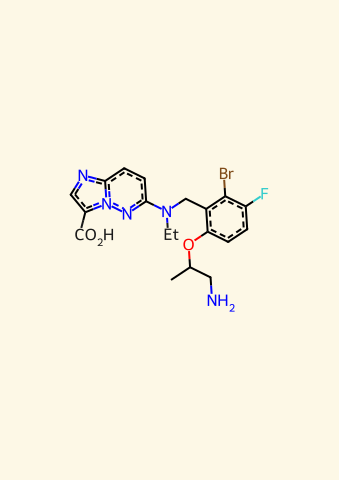 CCN(Cc1c(OC(C)CN)ccc(F)c1Br)c1ccc2ncc(C(=O)O)n2n1